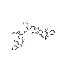 C=C1N=C[C@@H]2Cc3ccccc3N2C(=O)/C1=C/C(OC)=C(\C)OCc1cc(O)cc(COc2cc3c(cc2OC)C(=O)N2c4ccccc4C[C@H]2C=N3)c1